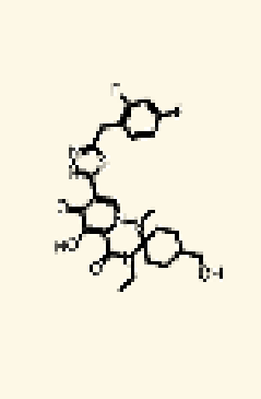 CCN1C(=O)c2c(O)c(=O)c(-c3nnc(Cc4ccc(F)cc4F)s3)cn2N(C)C12CCC(CO)CC2